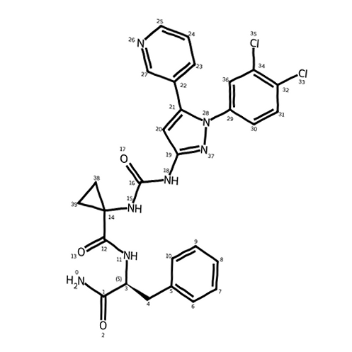 NC(=O)[C@H](Cc1ccccc1)NC(=O)C1(NC(=O)Nc2cc(-c3cccnc3)n(-c3ccc(Cl)c(Cl)c3)n2)CC1